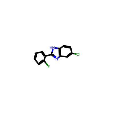 Fc1cc[c]cc1-c1nc2cc(Cl)ccc2[nH]1